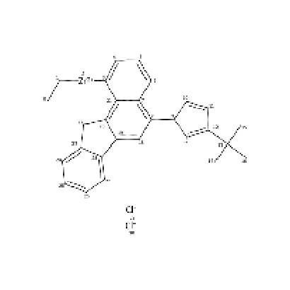 C[CH2][Zr+2][c]1cccc2c(C3C=CC(C(C)(C)C)=C3)cc3c(c12)Cc1ccccc1-3.[Cl-].[Cl-]